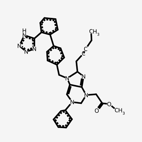 CCCCCC1N=C2C(=CN(c3ccccc3)CN2CC(=O)OC)N1Cc1ccc(-c2ccccc2-c2nnn[nH]2)cc1